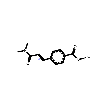 CCCNC(=O)c1ccc(/C=C/C(=O)N(C)C)cc1